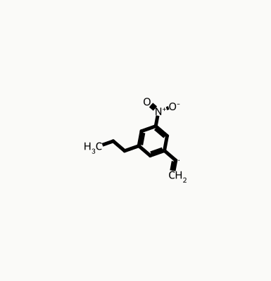 C=[C]c1cc(CCC)cc([N+](=O)[O-])c1